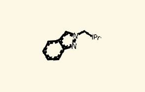 C[C](C)Cn1cc2ccccc2n1